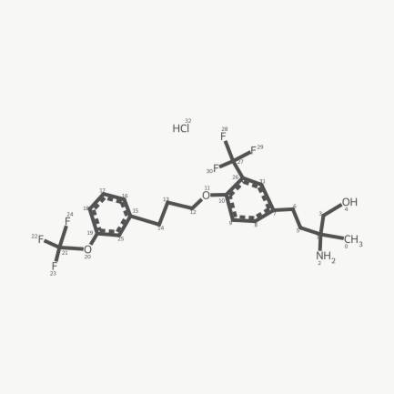 CC(N)(CO)CCc1ccc(OCCCc2cccc(OC(F)(F)F)c2)c(C(F)(F)F)c1.Cl